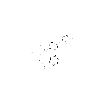 CCN(C)C(=O)c1ccccc1C1C(C(=O)C(C)C)=C(O)C(=O)N1c1ccc(-c2ccc(C)o2)cc1